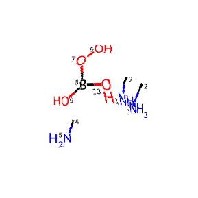 CN.CN.CN.OOB(O)O